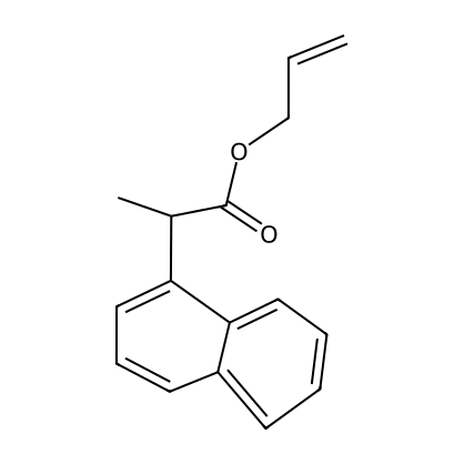 C=CCOC(=O)C(C)c1cccc2ccccc12